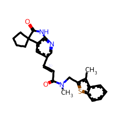 Cc1c(CN(C)C(=O)/C=C/c2cnc3c(c2)C2(CCCC2)C(=O)N3)sc2ccccc12